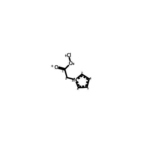 O=C(Cn1cccc1)OCl